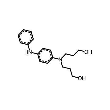 OCCCN(CCCO)c1ccc(Nc2ccccc2)cc1